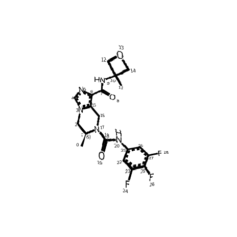 C[C@H]1Cn2cnc(C(=O)NC3(C)COC3)c2CN1C(=O)Nc1cc(F)c(F)c(F)c1